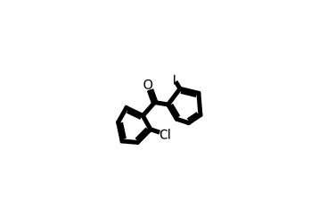 O=C(c1ccccc1Cl)c1ccccc1I